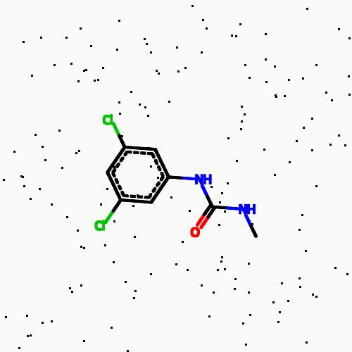 CNC(=O)Nc1cc(Cl)cc(Cl)c1